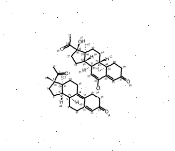 CC(=O)[C@@]1(C)CC[C@H]2[C@@H]3CCC4=CC(=O)CCC4=C3CC[C@@]21C.CC(=O)[C@@]1(O)CC[C@H]2[C@@H]3C=C(Cl)C4=CC(=O)CC[C@]4(C)[C@H]3CC[C@@]21C